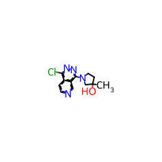 CC1(O)CCN(c2nnc(Cl)c3ccncc23)C1